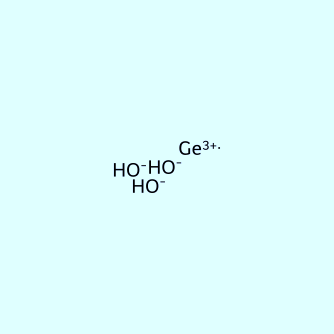 [Ge+3].[OH-].[OH-].[OH-]